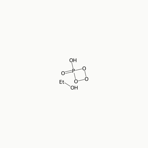 CCO.O=P1(O)OOO1